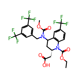 CCOC(=O)N1c2ccc(C(F)(F)F)cc2C(N(Cc2cc(C(F)(F)F)cc(C(F)(F)F)c2)C(=O)OC)C[C@H]1CC(=O)O